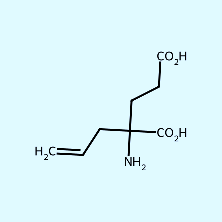 C=CCC(N)(CCC(=O)O)C(=O)O